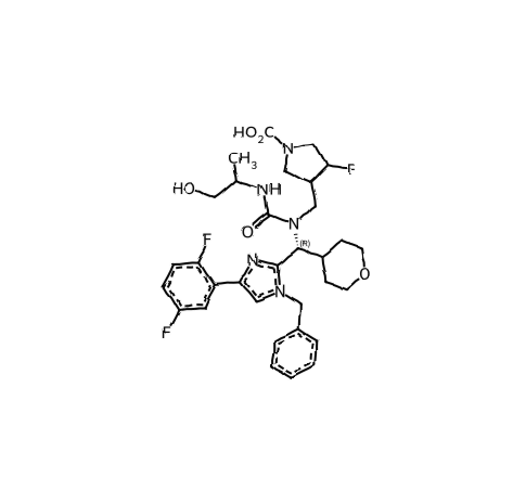 CC(CO)NC(=O)N(CC1CN(C(=O)O)CC1F)[C@@H](c1nc(-c2cc(F)ccc2F)cn1Cc1ccccc1)C1CCOCC1